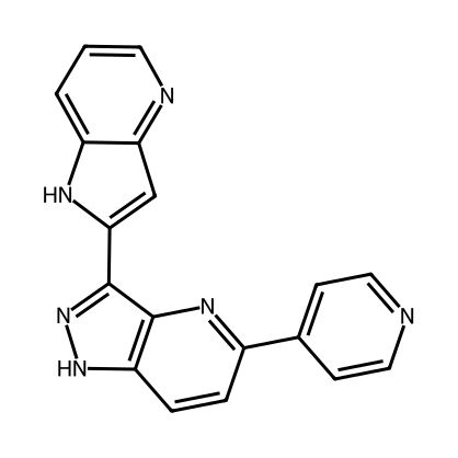 c1cnc2cc(-c3n[nH]c4ccc(-c5ccncc5)nc34)[nH]c2c1